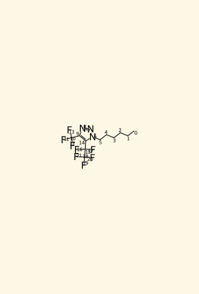 CCCCCCn1nnc(C(F)(F)F)c1C(F)(F)C(F)(F)F